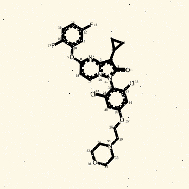 O=c1c(C2CC2)c2nc(Oc3cc(F)ccc3F)ccn2n1-c1c(Cl)cc(OCCN2CCOCC2)cc1Cl